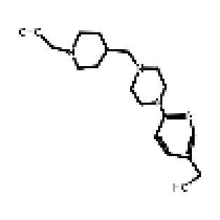 O=CCN1CCC(CN2CCN(c3ccc(CO)cn3)CC2)CC1